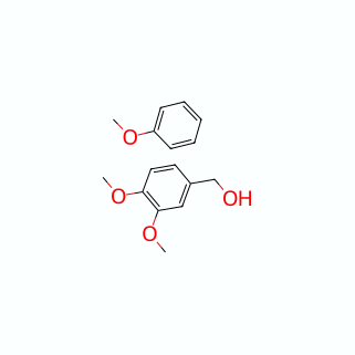 COc1ccc(CO)cc1OC.COc1ccccc1